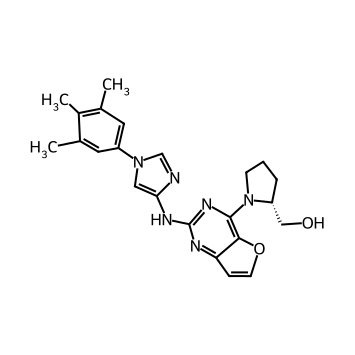 Cc1cc(-n2cnc(Nc3nc(N4CCC[C@@H]4CO)c4occc4n3)c2)cc(C)c1C